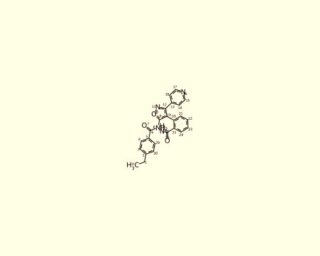 CCc1ccc(C(=O)Nc2onc(-c3ccncc3)c2-c2ccccc2C(N)=O)cc1